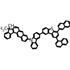 CC1(C)c2ccccc2-c2c1ccc1cc3cc(-n4c5ccccc5c5cc(-c6ccc7sc8c(-c9ccc%10ccccc%10c9)cc(-c9cccc%10ccccc9%10)cc8c7c6)ccc54)ccc3cc21